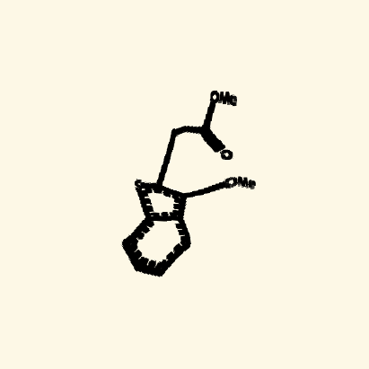 COC(=O)Cc1sc2ccccc2c1OC